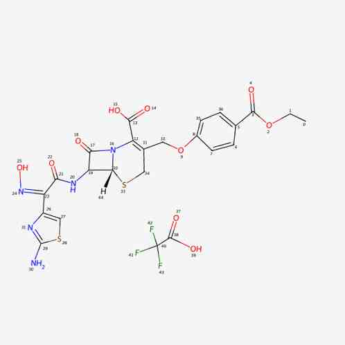 CCOC(=O)c1ccc(OCC2=C(C(=O)O)N3C(=O)C(NC(=O)/C(=N\O)c4csc(N)n4)[C@H]3SC2)cc1.O=C(O)C(F)(F)F